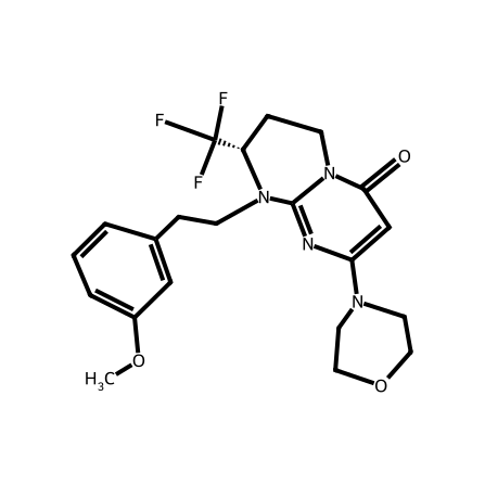 COc1cccc(CCN2c3nc(N4CCOCC4)cc(=O)n3CC[C@H]2C(F)(F)F)c1